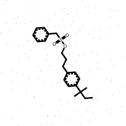 CCC(C)(C)c1ccc(CCCOS(=O)(=O)Cc2ccccc2)cc1